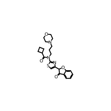 O=C1c2ccccc2OC1c1csc(N(CCCN2CCOCC2)C(=O)C2CCC2)n1